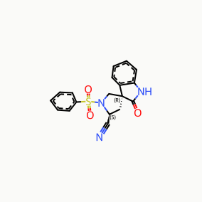 N#C[C@@H]1C[C@@]2(CN1S(=O)(=O)c1ccccc1)C(=O)Nc1ccccc12